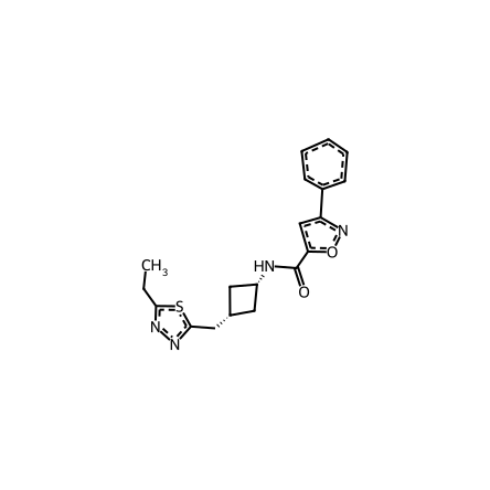 CCc1nnc(C[C@H]2C[C@@H](NC(=O)c3cc(-c4ccccc4)no3)C2)s1